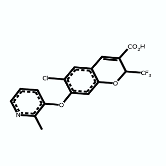 Cc1ncccc1Oc1cc2c(cc1Cl)C=C(C(=O)O)C(C(F)(F)F)O2